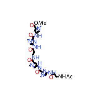 COC(=O)c1cc(NC(=O)c2nc(NC(=O)CCNC(=O)c3cc(NC(=O)c4nc(NC(=O)CCNC(C)=O)cn4C)cn3C)cn2C)cn1C